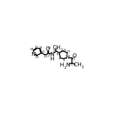 CC(N)C(=O)N1CCC(C(C)NC(=O)Cc2cccnc2)CC1